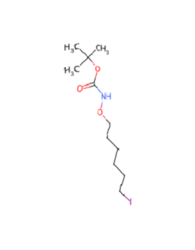 CC(C)(C)OC(=O)NOCCCCCCI